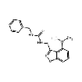 CN(C)c1cccc2onc(SNC(=O)NCc3ccccc3)c12